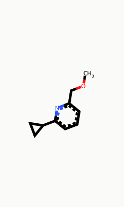 COCc1cccc(C2CC2)n1